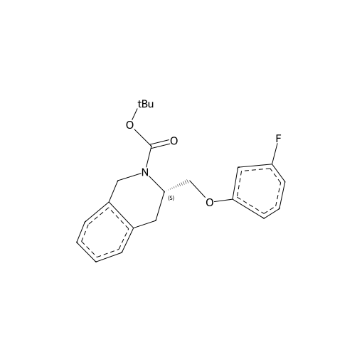 CC(C)(C)OC(=O)N1Cc2ccccc2C[C@H]1COc1cccc(F)c1